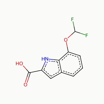 O=C(O)c1cc2cccc(OC(F)F)c2[nH]1